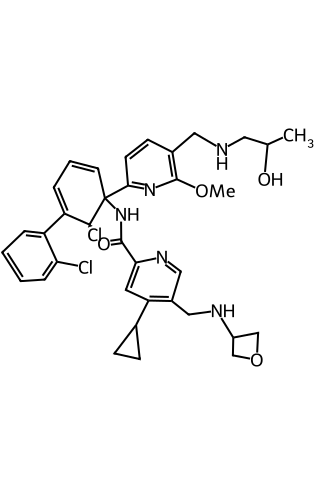 COc1nc(C2(NC(=O)c3cc(C4CC4)c(CNC4COC4)cn3)C=CC=C(c3ccccc3Cl)[C@@H]2Cl)ccc1CNCC(C)O